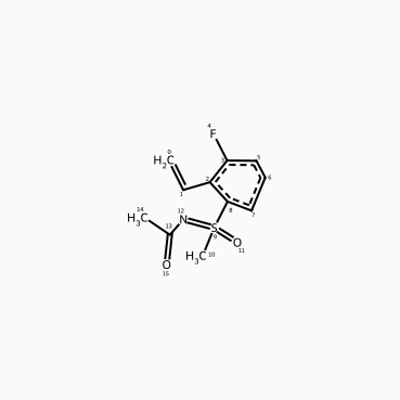 C=Cc1c(F)cccc1S(C)(=O)=NC(C)=O